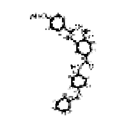 COc1ccc(C(=O)Nc2cc(C(=O)Nc3ccc(Oc4ccccc4)cc3)ccc2N)cc1